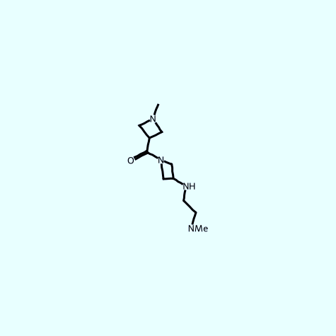 CNCCNC1CN(C(=O)C2CN(C)C2)C1